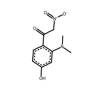 CN(C)c1cc(O)ccc1C(=O)C[N+](=O)[O-]